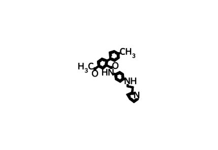 CC(=O)c1ccc(-c2ccc(C)cc2)c(C(=O)Nc2ccc(NCCc3ccccn3)cc2)c1